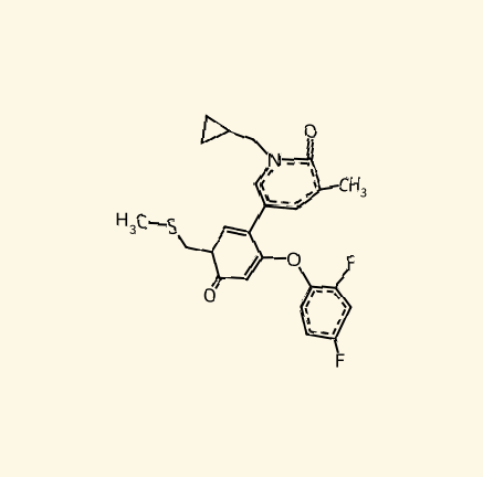 CSCC1C=C(c2cc(C)c(=O)n(CC3CC3)c2)C(Oc2ccc(F)cc2F)=CC1=O